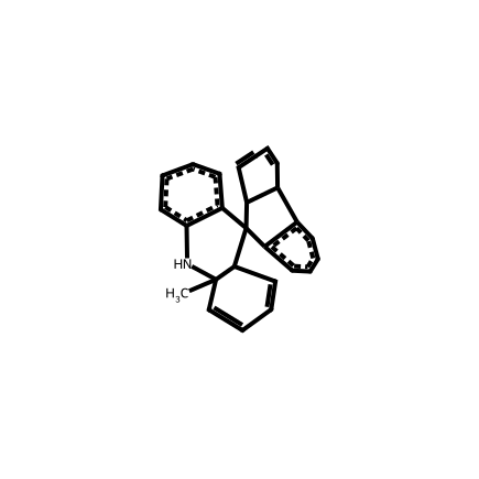 CC12C=CC=CC1C1(c3ccccc3N2)c2ccccc2C2C=CC=CC21